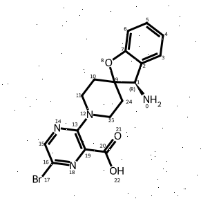 N[C@@H]1c2ccccc2OC12CCN(c1ncc(Br)nc1C(=O)O)CC2